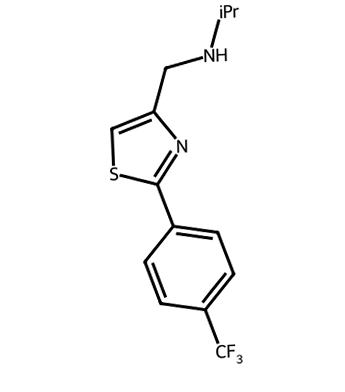 CC(C)NCc1csc(-c2ccc(C(F)(F)F)cc2)n1